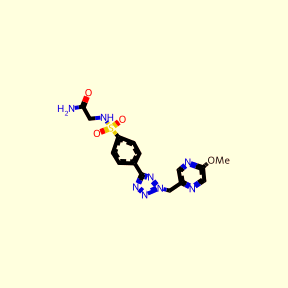 COc1cnc(Cn2nnc(-c3ccc(S(=O)(=O)NCC(N)=O)cc3)n2)cn1